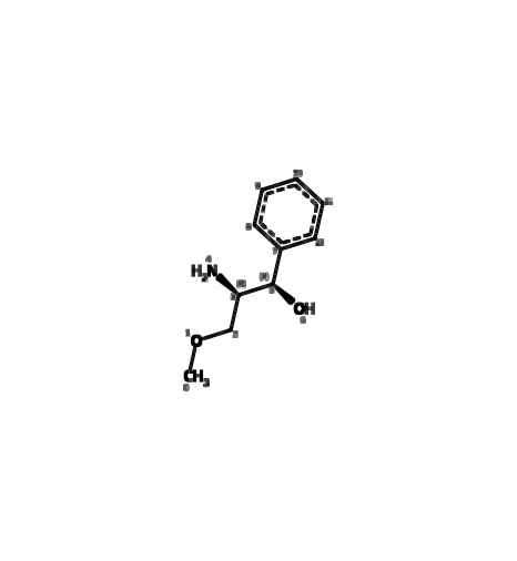 COC[C@@H](N)[C@H](O)c1ccccc1